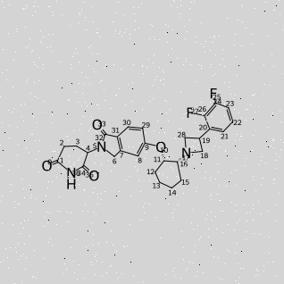 O=C1CCC(N2Cc3cc(O[C@H]4CCCC[C@H]4N4CC(c5cccc(F)c5F)C4)ccc3C2=O)C(=O)N1